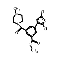 COC(=O)c1cc(C(=O)N2CCN(C)CC2)cc(-c2cc(Cl)sc2Cl)c1